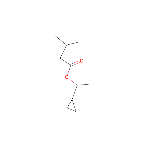 CC(C)CC(=O)OC(C)C1CC1